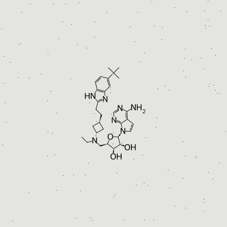 CCN(C[C@H]1O[C@@H](n2ccc3c(N)ncnc32)[C@@H](O)[C@H]1O)[C@H]1C[C@H](CCc2nc3cc(C(C)(C)C)ccc3[nH]2)C1